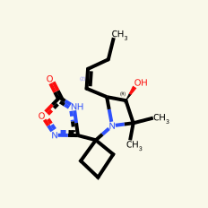 CC/C=C\C1[C@@H](O)C(C)(C)N1C1(c2noc(=O)[nH]2)CCC1